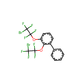 FC(F)(Br)C(F)(F)Oc1cccc(-c2ccccc2)c1OC(F)(F)C(F)(F)Br